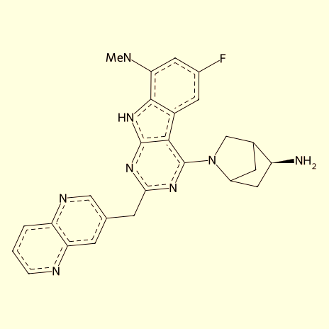 CNc1cc(F)cc2c1[nH]c1nc(Cc3cnc4cccnc4c3)nc(N3CC4CC3C[C@@H]4N)c12